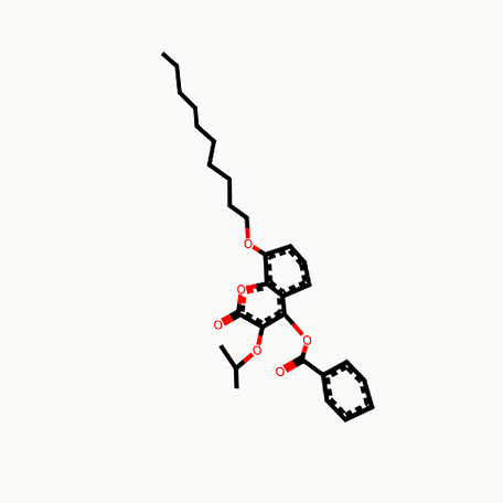 CCCCCCCCCCOc1cccc2c(OC(=O)c3ccccc3)c(OC(C)C)c(=O)oc12